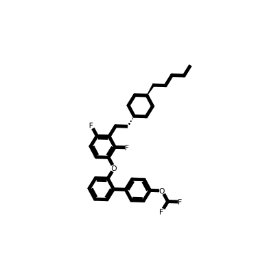 CCCCC[C@H]1CC[C@H](CCc2c(F)c[c]c(Oc3ccccc3-c3ccc(OC(F)F)cc3)c2F)CC1